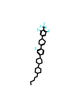 CCCCCC1CCC(C2CCC(c3ccc(C4=CCC(c5cc(F)c(C(F)(F)F)c(F)c5)CC4)c(F)c3)CC2)CC1